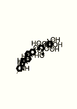 C[C@@H]1CC[C@@]2(NC1)O[C@H]1C[C@H]3[C@@H]4CC=C5C[C@@H](O[C@@H]6O[C@H](CO)[C@@H](O[C@@H]7O[C@@H](C)[C@H](O)[C@@H](O)[C@H]7O)[C@H](O)[C@H]6O)CC[C@]5(C)[C@H]4CC[C@]3(C)[C@H]1[C@@H]2C